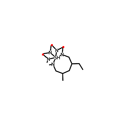 CCC1CC(C)CN(C)[SH](N(C)C)(N(C)C)(N(C)C)N(C)C1